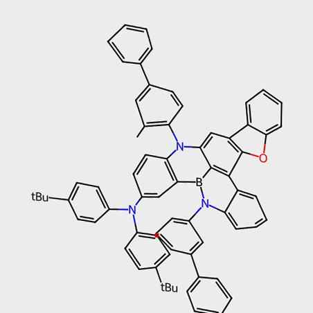 Cc1cc(-c2ccccc2)ccc1N1c2ccc(N(c3ccc(C(C)(C)C)cc3)c3ccc(C(C)(C)C)cc3)cc2B2c3c1cc1c(oc4ccccc41)c3-c1ccccc1N2c1cccc(-c2ccccc2)c1